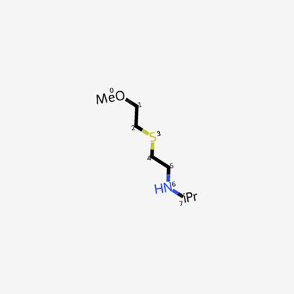 COCCSCCNC(C)C